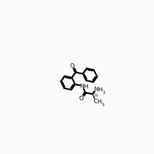 C[C@H](N)C(=O)Nc1ccccc1C(=O)c1ccccc1